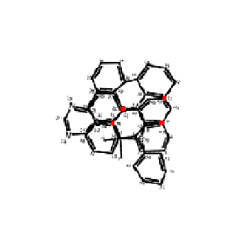 CC1(C)c2ccccc2N(c2ccccc2-c2cccc(-c3ncncn3)c2B2c3ccccc3B(c3ccccc3)c3ccccc32)c2ccccc21